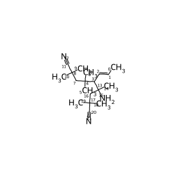 CC=CC(C(C)(C)CC(C)(C)C#N)C(C)(N)CC(C)(C)C#N